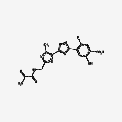 Cc1nc(CNC(=O)C(N)=O)sc1-c1csc(-c2cc(O)c(C(=O)O)cc2F)n1